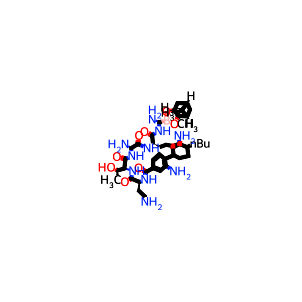 CCCCC1CCC(c2ccc(C(=O)N[C@@H](CCN)C(=O)N[C@H](C(=O)N[C@@H](N)C(=O)N[C@@H](CCCCN)C(=O)N[C@@H](N)B3OC4C[C@@H]5C[C@@H](C5(C)C)[C@]4(C)O3)[C@@H](C)O)cc2N)CC1